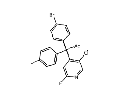 CC(=O)C(c1ccc(C)cc1)(c1ccc(Br)cc1)c1cc(F)ncc1Cl